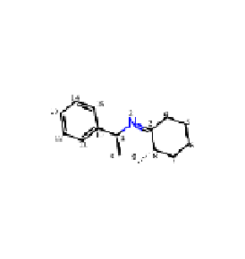 C[C@H](/N=C1/CCCC[C@@H]1C)c1ccccc1